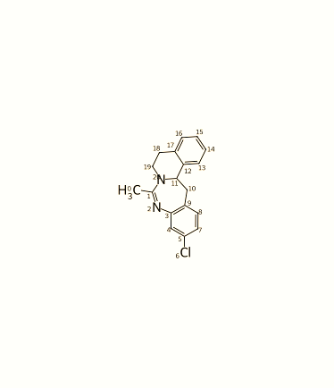 CC1=Nc2cc(Cl)ccc2CC2c3ccccc3CCN12